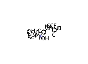 CC(=O)N(CC(=O)/C(=N/O)c1ccc(C2=NOC(c3cc(Cl)cc(Cl)c3)(C(F)(F)F)C2)cc1C)Cc1ccccn1